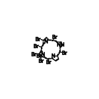 BrC1=Cc2nc1c(Br)c1c(Br)c(Br)c(c(Br)c3nc(c(Br)c4ccc([nH]4)c2Br)C=C3)n1Br